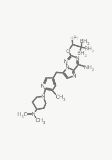 BC(B)(B)C(CCC)Oc1nc(N)c2ncc(Cc3cnc(N4CCC(N(C)C)CC4)c(C)c3)n2n1